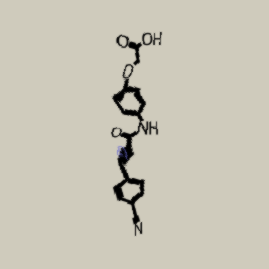 N#Cc1ccc(/C=C/C(=O)Nc2ccc(OCC(=O)O)cc2)cc1